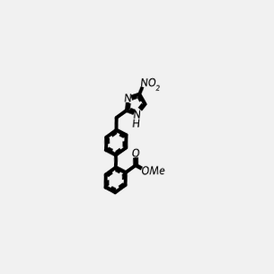 COC(=O)c1ccccc1-c1ccc(Cc2nc([N+](=O)[O-])c[nH]2)cc1